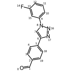 O=Cc1ccc(-c2cn(-c3cccc(F)c3)nn2)cc1